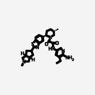 CCc1cc(NC(=O)C(=O)N2C[C@@H](C)CC[C@@H]2c2ccc3sc(C4C[C@@H]5CN(C)C[C@@H]5C4)nc3c2)cnc1N